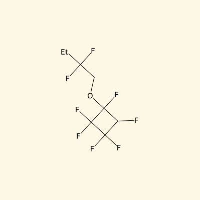 CCC(F)(F)COC1(F)C(F)C(F)(F)C1(F)F